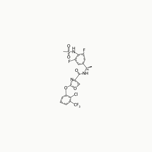 C[C@@H](NC(=O)c1coc(Oc2cccc(C(F)(F)F)c2Cl)n1)c1cc(F)c(NS(C)(=O)=O)c(F)c1